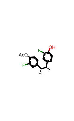 CC[C@@H](c1ccc(OC(C)=O)c(F)c1)[C@H](C)c1ccc(O)c(F)c1